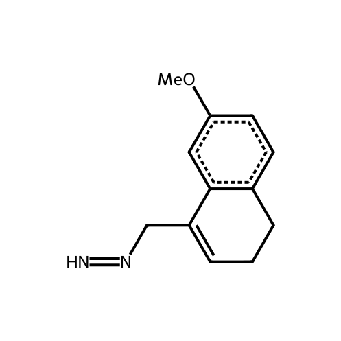 COc1ccc2c(c1)C(CN=N)=CCC2